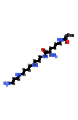 CCCCCCC(=O)NCCCC[C@@H](N)C(=O)NCCCNCCCCNCCCN